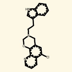 Clc1cc2c(c3ncccc13)OCN(CCc1c[nH]c3ccccc13)C2